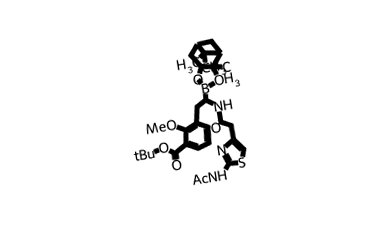 COc1c(CC(NC(=O)Cc2csc(NC(C)=O)n2)B2OC3CC4CC(C4(C)C)C3(C)O2)cccc1C(=O)OC(C)(C)C